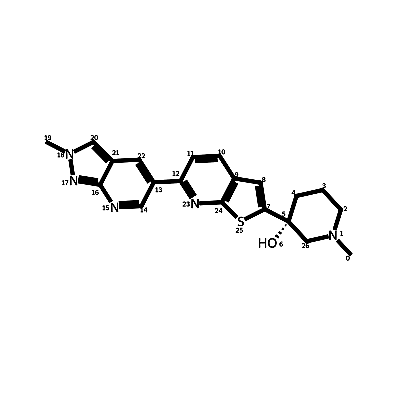 CN1CCC[C@](O)(c2cc3ccc(-c4cnc5nn(C)cc5c4)nc3s2)C1